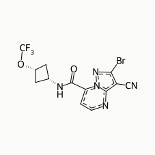 N#Cc1c(Br)nn2c(C(=O)N[C@H]3C[C@@H](OC(F)(F)F)C3)ccnc12